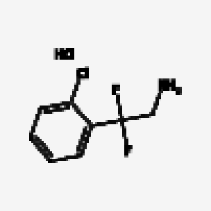 Cl.NCC(F)(F)c1ccccc1Cl